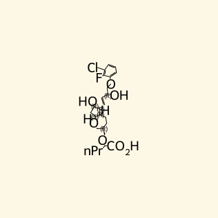 CCCC(OC[C@@H]1CC[C@@H]2[C@@H](C=C[C@@H](O)COc3cccc(Cl)c3F)[C@H](O)C[C@@H]2OC1)C(=O)O